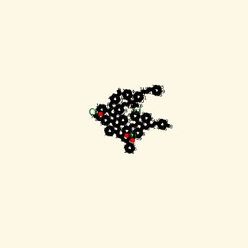 C=Cc1ccc(CCC(CC(CC(CC(CC(CC(CC(c2ccccc2)C(C)(C)Cl)c2ccc(CCC(CC(CC(CCc3ccc(C)cc3)c3ccccc3)c3ccc(C)cc3)c3ccccc3)cc2)c2ccccc2)c2ccccc2)c2ccc(CC(C)(C)Cl)cc2)c2ccc(CCC(c3ccccc3)C(c3ccc(CCCc4ccccc4)cc3)C(C)(C)Cl)cc2)c2ccccc2)cc1